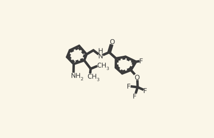 CC(C)c1c(N)cccc1CNC(=O)c1ccc(OC(F)(F)F)c(F)c1